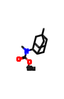 CN(C(=O)OC(C)(C)C)C1C2CC3CC1CC(C)(C3)C2